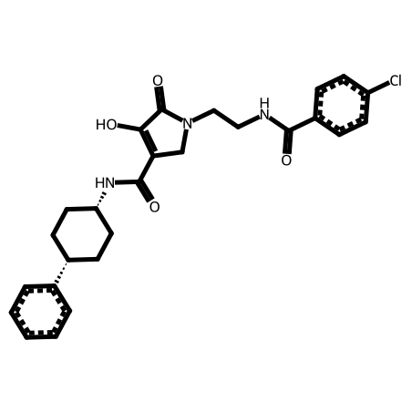 O=C(N[C@H]1CC[C@@H](c2ccccc2)CC1)C1=C(O)C(=O)N(CCNC(=O)c2ccc(Cl)cc2)C1